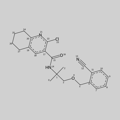 CC(C)(COCc1ccccc1C#N)NC(=O)c1cc2c(nc1Cl)CCCC2